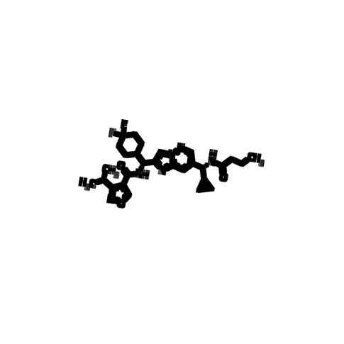 CCCC(=O)N[C@@H](c1cnn2cc([C@@H](NC(=O)c3conc3C(C)C)C3CCC(F)(F)CC3)nc2c1)C1CC1